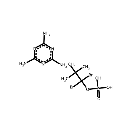 CC(C)(C)C(Br)(Br)OP(=O)(O)O.Nc1nc(N)nc(N)n1